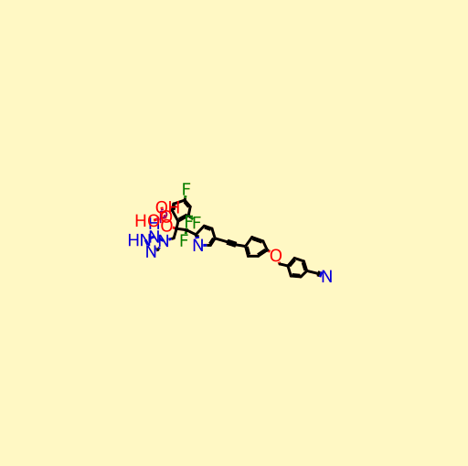 N#Cc1ccc(COc2ccc(C#Cc3ccc(C(F)(F)C(CN4C=NNN4)(OP(=O)(O)O)c4ccc(F)cc4F)nc3)cc2)cc1